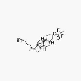 CC(C)CCC[C@@H](C)[C@H]1CC[C@H]2[C@@H]3CC[C@H]4CC(OC(=O)C(C)(F)F)CC[C@]4(C)[C@H]3CC[C@]12C